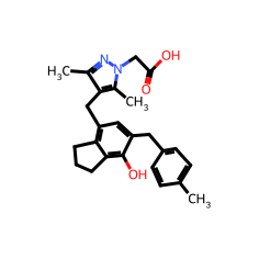 Cc1ccc(Cc2cc(Cc3c(C)nn(CC(=O)O)c3C)c3c(c2O)CCC3)cc1